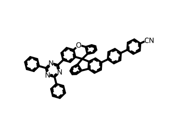 N#Cc1ccc(-c2ccc(-c3ccc4c(c3)C3(c5ccccc5Oc5ccc(-c6nc(-c7ccccc7)nc(-c7ccccc7)n6)cc53)c3ccccc3-4)cc2)cc1